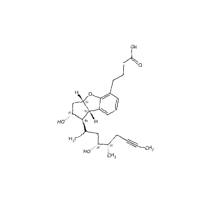 CC#CC[C@H](C)[C@H](O)CC(C)[C@@H]1[C@H]2c3cccc(CCCC(=O)O)c3O[C@H]2C[C@H]1O